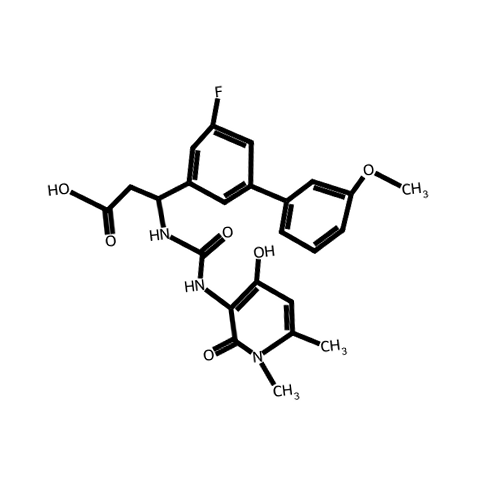 COc1cccc(-c2cc(F)cc(C(CC(=O)O)NC(=O)Nc3c(O)cc(C)n(C)c3=O)c2)c1